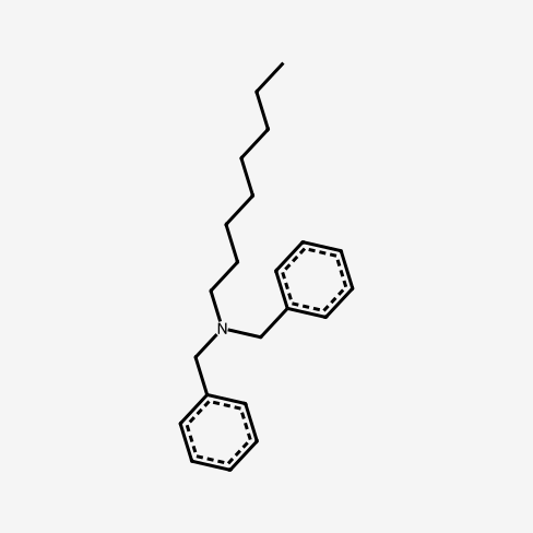 CCCCCCCCN(Cc1ccccc1)Cc1ccccc1